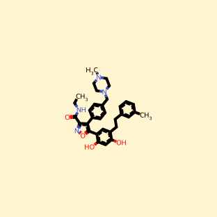 CCNC(=O)c1noc(-c2cc(CCc3cccc(C)c3)c(O)cc2O)c1-c1ccc(CN2CCN(C)CC2)cc1